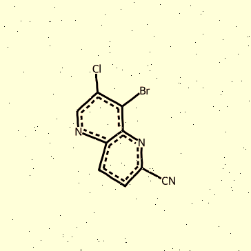 N#Cc1ccc2ncc(Cl)c(Br)c2n1